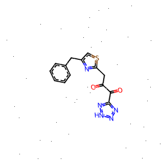 O=C(Cc1nc(Cc2ccccc2)cs1)C(=O)c1nn[nH]n1